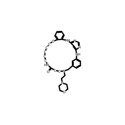 O=C1CCN(CCN2CCOCC2)Cc2cccc(c2)Nc2cc(ncn2)Nc2ccccc2OCCCCCN1